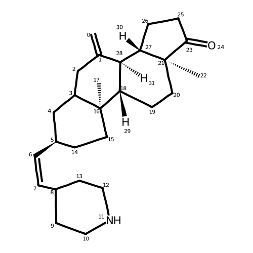 C=C1CC2C[C@H](/C=C\C3CCNCC3)CC[C@]2(C)[C@H]2CC[C@]3(C)C(=O)CC[C@H]3[C@H]12